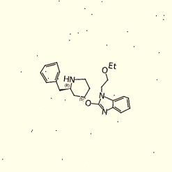 CCOCCn1c(O[C@H]2CCN[C@H](Cc3ccccc3)C2)nc2ccccc21